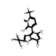 Cn1c(C(F)(F)F)ccc(-c2c(Cl)cc(Cl)c3oc(C(Br)(Br)Br)cc23)c1=O